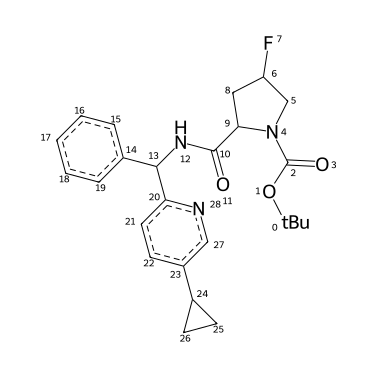 CC(C)(C)OC(=O)N1CC(F)CC1C(=O)NC(c1ccccc1)c1ccc(C2CC2)cn1